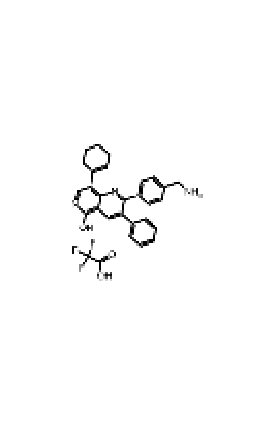 NCc1ccc(-c2nc3c(C4=CCCCC4)cnc(O)c3cc2-c2ccccc2)cc1.O=C(O)C(F)(F)F